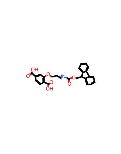 O=C(NCCCOc1cc(C(=O)O)ccc1C(=O)O)OCC1c2ccccc2-c2ccccc21